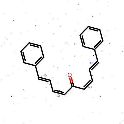 O=C(/C=C\C=C\c1ccccc1)/C=C\C=C\c1ccccc1